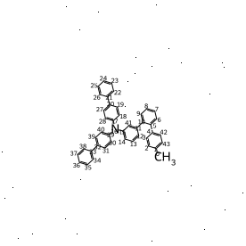 Cc1ccc(-c2ccccc2-c2cccc(N(c3ccc(-c4ccccc4)cc3)c3ccc(-c4ccccc4)cc3)c2)cc1